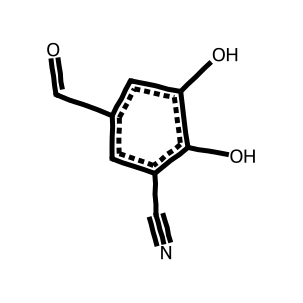 N#Cc1cc(C=O)cc(O)c1O